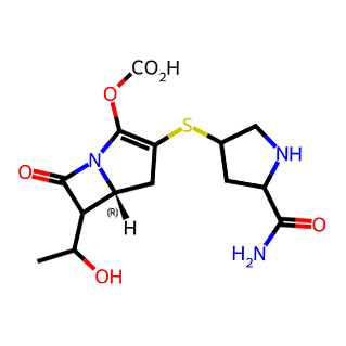 CC(O)C1C(=O)N2C(OC(=O)O)=C(SC3CNC(C(N)=O)C3)C[C@H]12